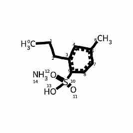 CCCc1cc(C)ccc1S(=O)(=O)O.N